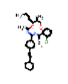 C=C(/C=C\C=C/C)COc1cccc(Cl)c1/C(C)=N/C(=N\C(=C)O)c1ccc(C#CC2CCCCC2)cc1